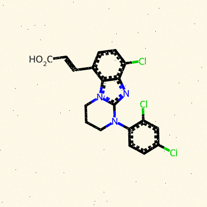 O=C(O)C=Cc1ccc(Cl)c2nc3n(c12)CCCN3c1ccc(Cl)cc1Cl